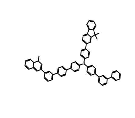 CC1C=C(c2cccc(-c3ccc(-c4ccc(N(c5ccc(-c6cccc(-c7ccccc7)c6)cc5)c5ccc(-c6ccc7c(c6)C(C)(C)c6ccccc6-7)cc5)cc4)cc3)c2)C=C2C=CC=CC21